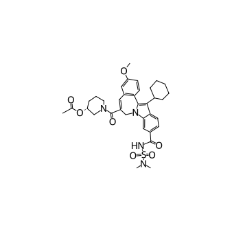 COc1ccc2c(c1)C=C(C(=O)N1CCC[C@@H](OC(C)=O)C1)Cn1c-2c(C2CCCCC2)c2ccc(C(=O)NS(=O)(=O)N(C)C)cc21